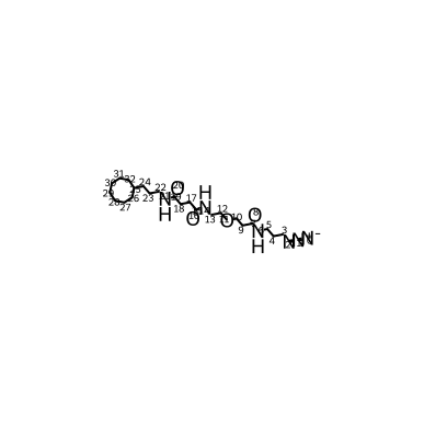 [N-]=[N+]=NCCCNC(=O)CCOCCNC(=O)CCC(=O)NCCCC1CCCCCCC1